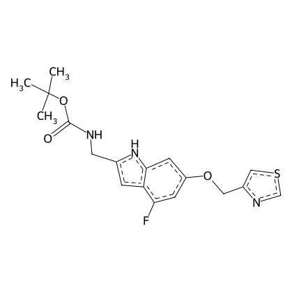 CC(C)(C)OC(=O)NCc1cc2c(F)cc(OCc3cscn3)cc2[nH]1